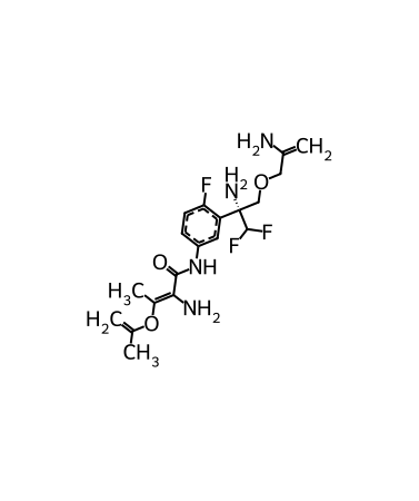 C=C(N)COC[C@](N)(c1cc(NC(=O)/C(N)=C(\C)OC(=C)C)ccc1F)C(F)F